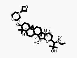 CC[S+]([O-])C(C1C[C@@H](C)[C@H]2C(O1)[C@H](O)[C@@]1(C)C3CC[C@H]4C(C)(C)C(O[C@H]5CN(C6COC6)CCO5)CCC45CC35CCC21C)C(C)(C)O